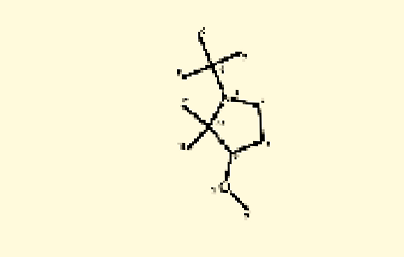 COC1CCN(C(C)(C)C)C1(C)C